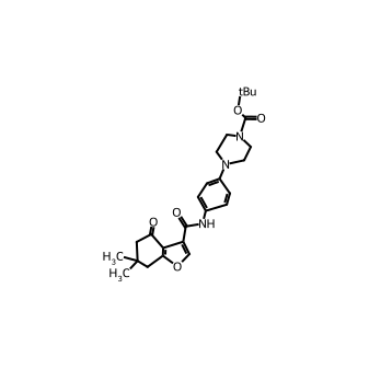 CC1(C)CC(=O)c2c(C(=O)Nc3ccc(N4CCN(C(=O)OC(C)(C)C)CC4)cc3)coc2C1